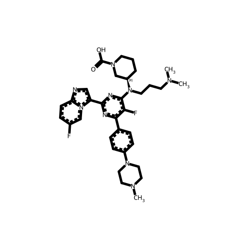 CN(C)CCCN(c1nc(-c2cnc3ccc(F)cn23)nc(-c2ccc(N3CCN(C)CC3)cc2)c1F)[C@@H]1CCCN(C(=O)O)C1